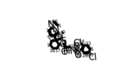 CNC(=S)C1(c2ccc3nccn3c2)CCCCC1OC(=O)CNS(=O)(=O)c1cc(Cl)ccc1Cl